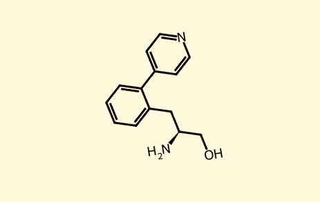 N[C@H](CO)Cc1ccccc1-c1ccncc1